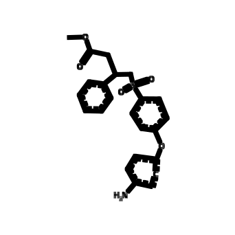 COC(=O)CC(CS(=O)(=O)c1ccc(Oc2ccc(N)cc2)cc1)c1ccccc1